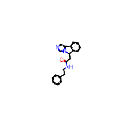 O=C(CC1c2ccccc2-c2cncn21)NCCc1ccccc1